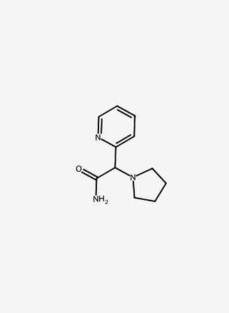 NC(=O)C(c1ccccn1)N1CCCC1